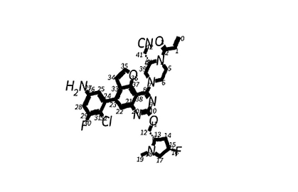 C=CC(=O)N1CCN(c2nc(OC[C@@H]3C[C@@H](F)CN3C)nc3cc(-c4cc(N)cc(F)c4Cl)c4ccoc4c23)C[C@@H]1CC#N